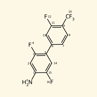 Nc1cc(F)c(-c2ccc(C(F)(F)F)c(F)c2)cc1F